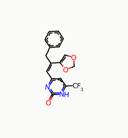 O=c1nc(C=C(Cc2ccccc2)C2=COCO2)cc(C(F)(F)F)[nH]1